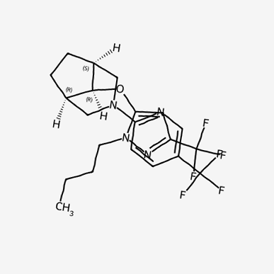 CCCCn1nc(C(F)(F)F)cc1O[C@H]1[C@@H]2CC[C@H]1CN(c1ccc(C(F)(F)F)cn1)C2